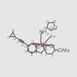 COC1CCC2(CC1)Cc1ccc(C#CC3CC3)cc1[C@@]21N=C(N)N(C[C@@H]2CCCO2)C1=O